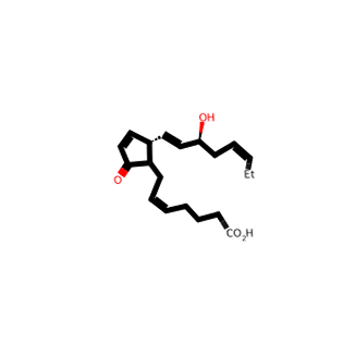 CC/C=C\C[C@H](O)/C=C/[C@H]1C=CC(=O)C1C/C=C\CCCC(=O)O